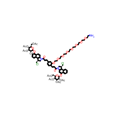 CC(=O)OC[C@H]1O[C@@H](Oc2cccc3c4c(ccc23)N(C(=O)/C=C/c2ccc(/C=C/C(=O)N3C[C@@H](CCl)c5c3cc(O[C@@H]3O[C@H](COC(C)=O)[C@H](OC(C)=O)[C@H](OC(C)=O)[C@H]3OC(C)=O)c3ccccc53)c(OCCOCCOCCOCCOCCOCCOCCOCCN)c2)C[C@H]4CCl)[C@H](OC(C)=O)[C@@H](OC(C)=O)[C@H]1OC(C)=O